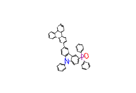 O=P(c1ccccc1)(c1ccccc1)c1ccc2c(c1)c1cc(-c3ccc4c5ccccc5c5ccccc5c4c3)ccc1n2-c1ccccc1